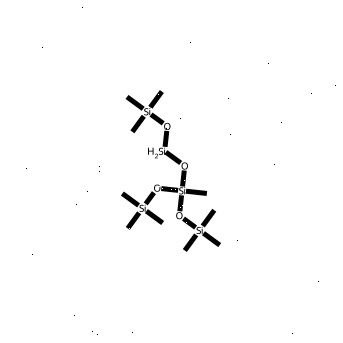 C[Si](C)(C)O[SiH2]O[Si](C)(O[Si](C)(C)C)O[Si](C)(C)C